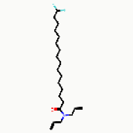 C=CCN(CC=C)C(=O)CCCCCCCCCCCCCCC(F)F